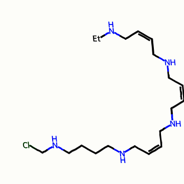 CCNC/C=C\CNC/C=C\CNC/C=C\CNCCCCNCCl